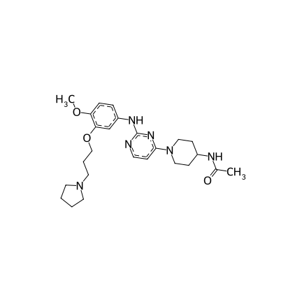 COc1ccc(Nc2nccc(N3CCC(NC(C)=O)CC3)n2)cc1OCCCN1CCCC1